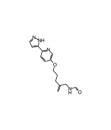 C=C(CCCOc1ccc(-c2ccn[nH]2)nc1)CNC=O